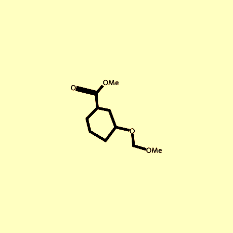 COCOC1CCCC(C(=O)OC)C1